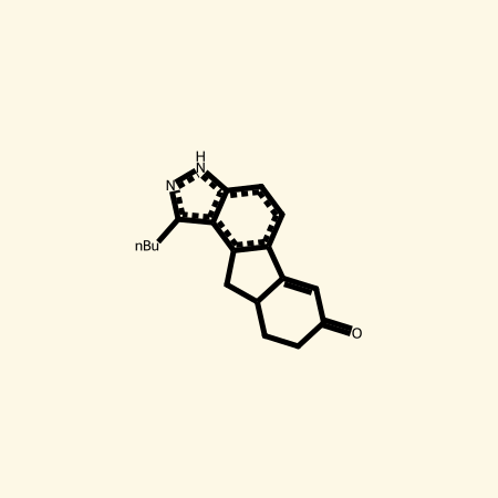 CCCCc1n[nH]c2ccc3c(c12)CC1CCC(=O)C=C31